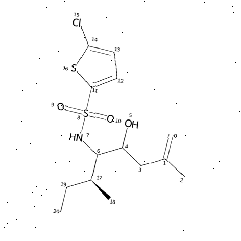 C=C(C)CC(O)C(NS(=O)(=O)c1ccc(Cl)s1)[C@@H](C)CC